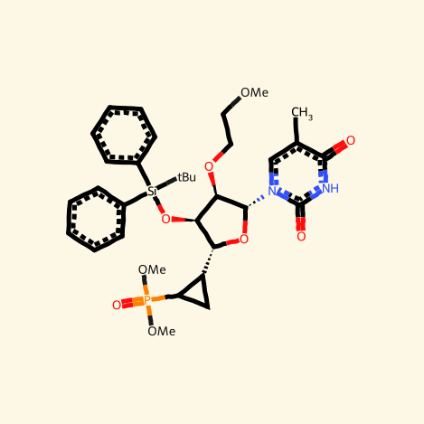 COCCO[C@@H]1[C@H](O[Si](c2ccccc2)(c2ccccc2)C(C)(C)C)[C@@H](C2CC2P(=O)(OC)OC)O[C@H]1n1cc(C)c(=O)[nH]c1=O